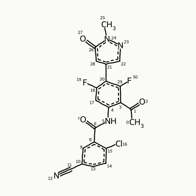 CC(=O)c1c(NC(=O)c2cc(C#N)ccc2Cl)cc(F)c(-c2cnn(C)c(=O)c2)c1F